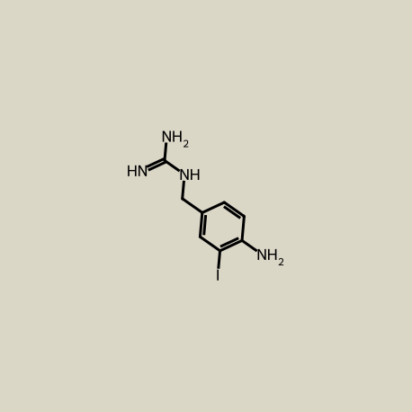 N=C(N)NCc1ccc(N)c(I)c1